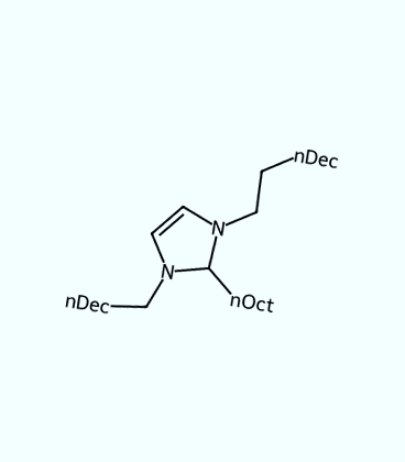 CCCCCCCCCCCCN1C=CN(CCCCCCCCCCC)C1CCCCCCCC